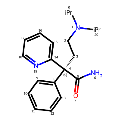 CC(C)N(CC[C@](C(N)=O)(c1ccccc1)c1ccccn1)C(C)C